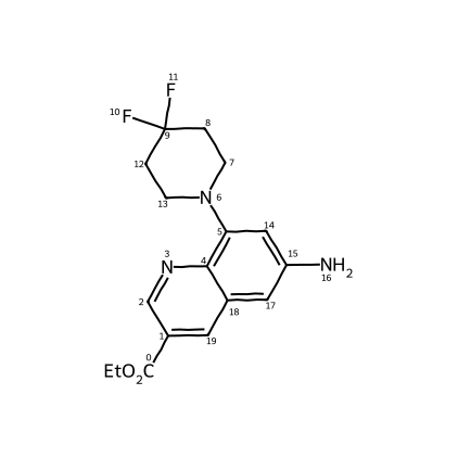 CCOC(=O)c1cnc2c(N3CCC(F)(F)CC3)cc(N)cc2c1